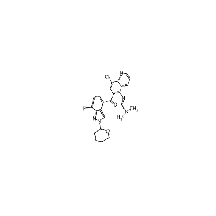 CN(C)/C=N/c1c(C(=O)c2ccc(F)c3nn(C4CCCCO4)cc23)cc(Cl)c2ncccc12